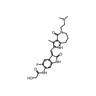 Cc1c(C=C2C(=O)Nc3cc(NC(=O)CO)c(F)cc32)[nH]c2c1C(=O)N(CCN(C)C)CCC2